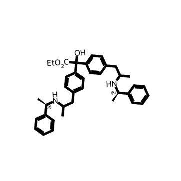 CCOC(=O)C(O)(c1ccc(CC(C)N[C@H](C)c2ccccc2)cc1)c1ccc(CC(C)N[C@H](C)c2ccccc2)cc1